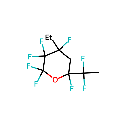 CCC1(F)CC(F)(C(C)(F)F)OC(F)(F)C1(F)F